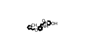 CN1CCCC1CCOc1ccc2[nH]c(C(=O)N3CCC(O)CC3)cc2c1